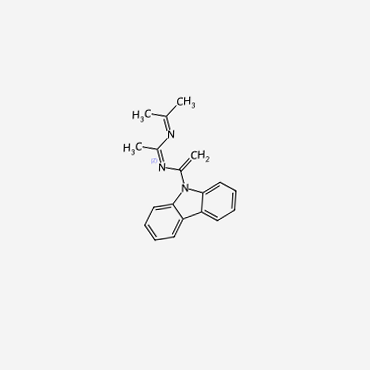 C=C(/N=C(/C)N=C(C)C)n1c2ccccc2c2ccccc21